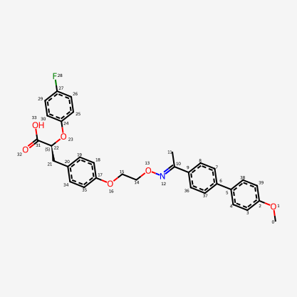 COc1ccc(-c2ccc(C(C)=NOCCOc3ccc(C[C@H](Oc4ccc(F)cc4)C(=O)O)cc3)cc2)cc1